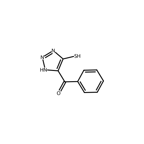 O=C(c1ccccc1)c1[nH]nnc1S